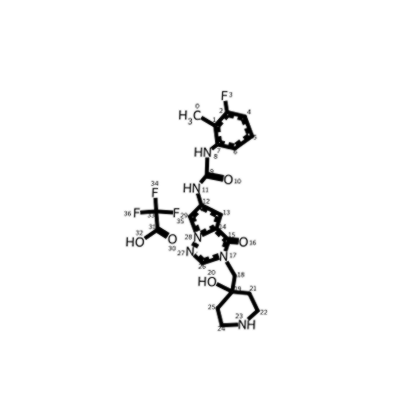 Cc1c(F)cccc1NC(=O)Nc1cc2c(=O)n(CC3(O)CCNCC3)cnn2c1.O=C(O)C(F)(F)F